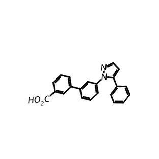 O=C(O)c1cccc(-c2cccc(-n3nccc3-c3ccccc3)c2)c1